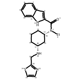 CCN(C(=O)c1cc2ccccc2[nH]1)[C@H]1CCC[C@@H](NCc2nccs2)C1